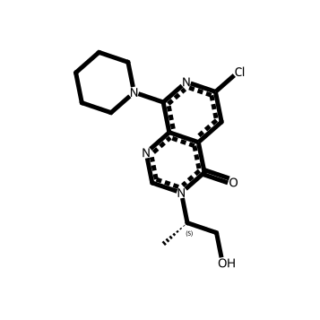 C[C@@H](CO)n1cnc2c(N3CCCCC3)nc(Cl)cc2c1=O